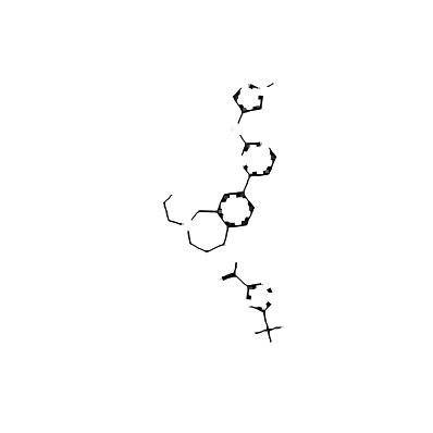 C[C@H](O)CN1CC[C@@H](NC(=O)c2noc(C(C)(C)C)n2)c2ccc(-c3ccnc(Nc4cnn(C)c4)n3)cc2C1